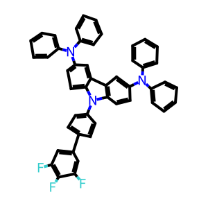 Fc1cc(-c2ccc(-n3c4ccc(N(c5ccccc5)c5ccccc5)cc4c4cc(N(c5ccccc5)c5ccccc5)ccc43)cc2)cc(F)c1F